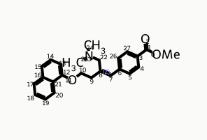 COC(=O)c1ccc(/C=C(/CCOc2cccc3ccccc23)CN(C)C)cc1